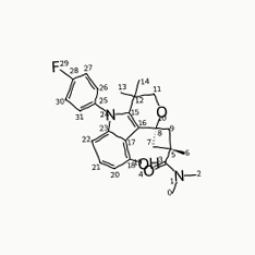 CN(C)C(=O)[C@]1(C)C[C@@]2(C1)OCC(C)(C)c1c2c2c(O)cccc2n1-c1ccc(F)cc1